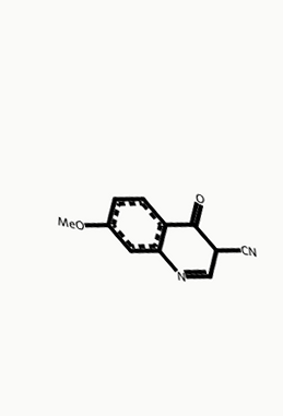 COc1ccc2c(c1)N=CC(C#N)C2=O